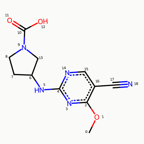 COc1nc(NC2CCN(C(=O)O)C2)ncc1C#N